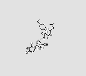 COc1ccc(OP(=O)(N[C@@H](C)C(=O)OC(C)C)OC[C@H]2OC(n3ccc(=O)[nH]c3=O)[C@@](F)(Cl)[C@@H]2O)cc1